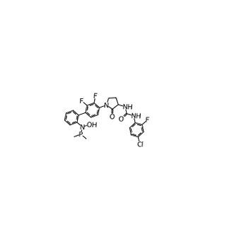 CP(C)N(O)c1ccccc1-c1ccc(N2CCC(NC(=O)Nc3ccc(Cl)cc3F)C2=O)c(F)c1F